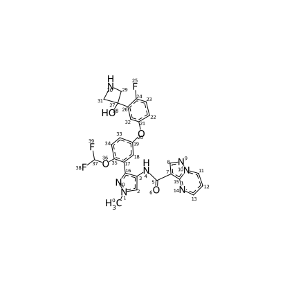 Cn1cc(NC(=O)c2cnn3cccnc23)c(-c2cc(Oc3ccc(F)c(C4(O)CNC4)c3)ccc2OC(F)F)n1